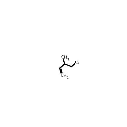 C=CC(C)CCl